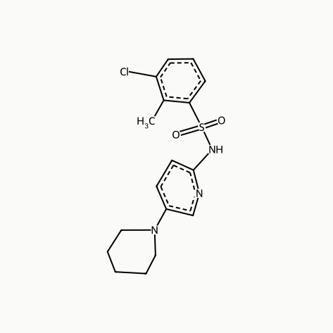 Cc1c(Cl)cccc1S(=O)(=O)Nc1ccc(N2CCCCC2)cn1